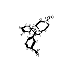 CN1CCN(CC(c2cccc(C#N)c2)C2(O)CCCCC2)CC1